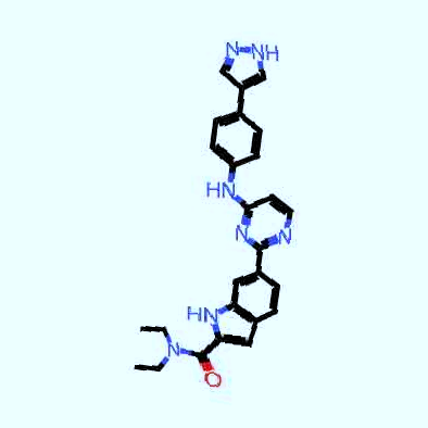 CCN(CC)C(=O)c1cc2ccc(-c3nccc(Nc4ccc(-c5cn[nH]c5)cc4)n3)cc2[nH]1